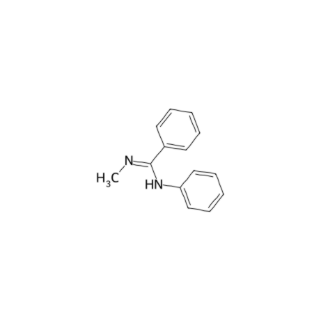 C/N=C(\Nc1ccccc1)c1ccccc1